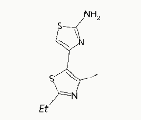 CCc1nc(C)c(-c2csc(N)n2)s1